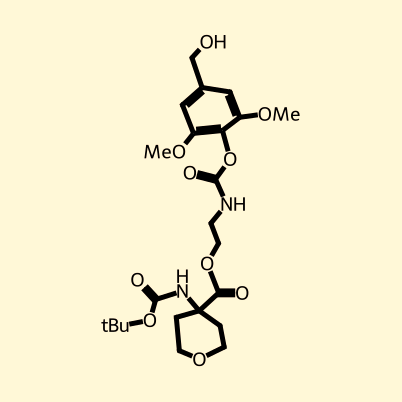 COc1cc(CO)cc(OC)c1OC(=O)NCCOC(=O)C1(NC(=O)OC(C)(C)C)CCOCC1